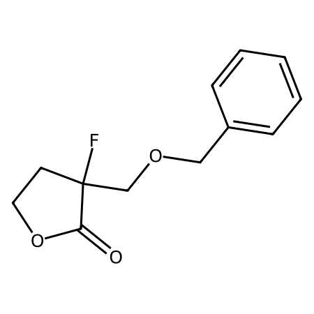 O=C1OCCC1(F)COCc1ccccc1